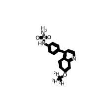 [2H]C([2H])([2H])Oc1ccc2c(-c3ccc(NS(N)(=O)=O)cc3)ccnc2c1